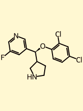 Fc1cncc([C@@H](Oc2ccc(Cl)cc2Cl)C2CCNC2)c1